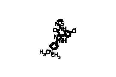 CN(C)c1ccc(-c2nc(C(=O)Nc3nccs3)c(-c3ccc(Cl)cc3)[nH]2)cc1